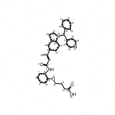 CC(=CC(=O)Nc1ccccc1OCCCC(=O)O)c1ccc2c(ccn2C(c2ccccc2)c2ccncc2)c1